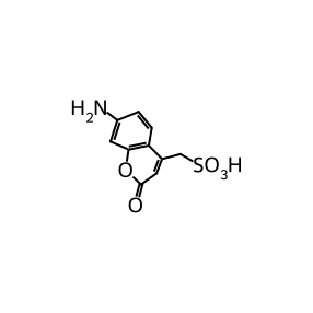 Nc1ccc2c(CS(=O)(=O)O)cc(=O)oc2c1